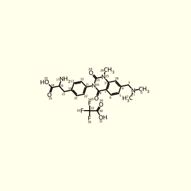 CN(C)Cc1ccc2c(=O)n(-c3ccc(CC(N)C(=O)O)cc3)c(=O)n(C)c2c1.O=C(O)C(F)(F)F